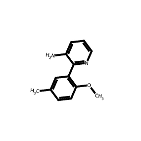 COc1ccc(C)cc1-c1ncccc1N